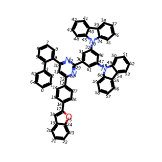 c1ccc(-c2ccccc2-c2cc(-c3ccc(-c4cc5ccccc5o4)cc3)nc(-c3cc(-n4c5ccccc5c5ccccc54)cc(-n4c5ccccc5c5ccccc54)c3)n2)cc1